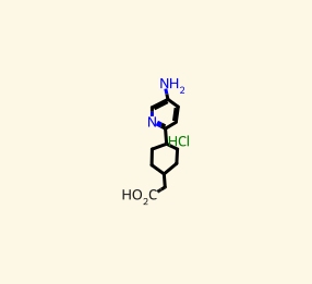 Cl.Nc1ccc(C2CCC(CC(=O)O)CC2)nc1